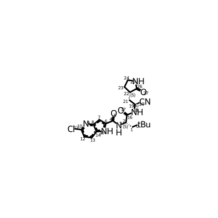 CC(C)(C)C[C@H](NC(=O)c1cc2nc(Cl)ccc2[nH]1)C(=O)N[C@H](C#N)C[C@@H]1CCNC1=O